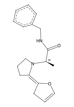 C[C@H](C(=O)NCc1ccccc1)N1CCCC1=C1CC=CO1